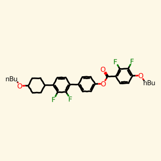 CCCCOc1ccc(C(=O)Oc2ccc(-c3ccc(C4CCC(OCCCC)CC4)c(F)c3F)cc2)c(F)c1F